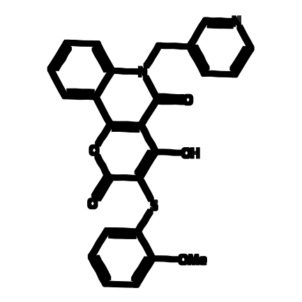 COc1ccccc1Sc1c(O)c2c(=O)n(Cc3cccnc3)c3ccccc3c2oc1=O